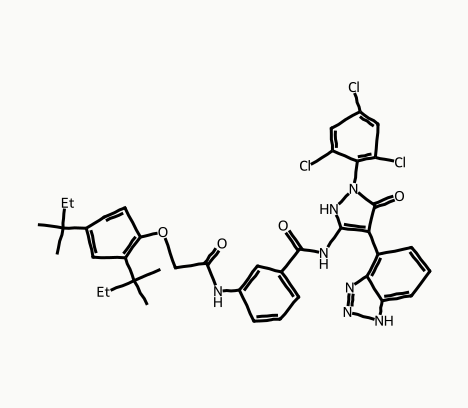 CCC(C)(C)c1ccc(OCC(=O)Nc2cccc(C(=O)Nc3[nH]n(-c4c(Cl)cc(Cl)cc4Cl)c(=O)c3-c3cccc4[nH]nnc34)c2)c(C(C)(C)CC)c1